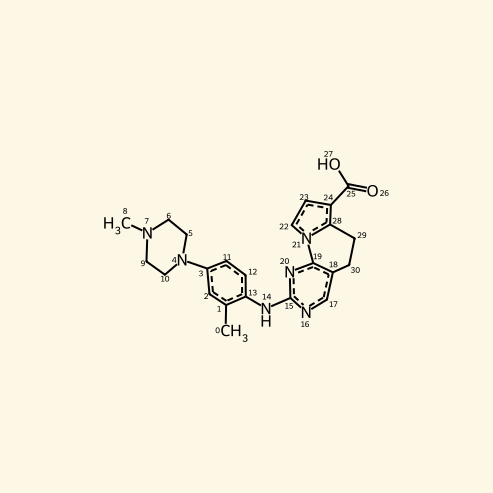 Cc1cc(N2CCN(C)CC2)ccc1Nc1ncc2c(n1)-n1ccc(C(=O)O)c1CC2